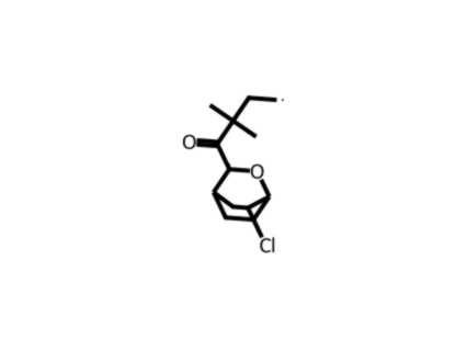 [CH2]CC(C)(C)C(=O)[C]1OC2CCC1CC2Cl